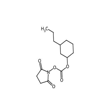 CCCC1CCCC(OC(=O)ON2C(=O)CCC2=O)C1